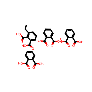 CCc1cccc(C(=O)O)c1C(=O)O.O=C(O)c1ccccc1C(=O)O.O=C(O)c1ccccc1C(=O)O.O=C(O)c1ccccc1C(=O)O